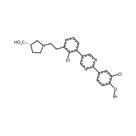 CCc1c(CCN2CC[C@H](C(=O)O)C2)cccc1-c1cnc(-c2ccc(OC(C)C)c(Cl)c2)nc1